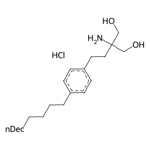 CCCCCCCCCCCCCCc1ccc(CCC(N)(CO)CO)cc1.Cl